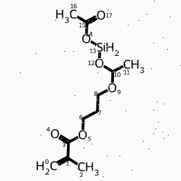 C=C(C)C(=O)OCCCOC(C)O[SiH2]OC(C)=O